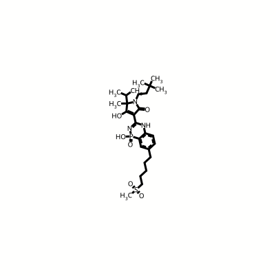 CC(C)C1(C)C(O)=C(C2=NP(=O)(O)c3cc(CCCCCS(C)(=O)=O)ccc3N2)C(=O)N1CCC(C)(C)C